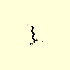 [CH]CCCCC(C)C